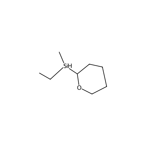 CC[SiH](C)C1CCCCO1